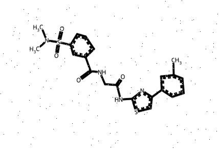 Cc1cccc(-c2csc(NC(=O)CNC(=O)c3cccc(S(=O)(=O)N(C)C)c3)n2)c1